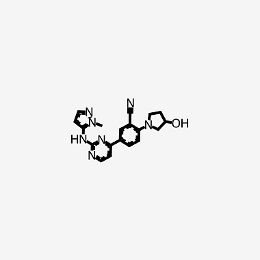 Cn1nccc1Nc1nccc(-c2ccc(N3CCC(O)C3)c(C#N)c2)n1